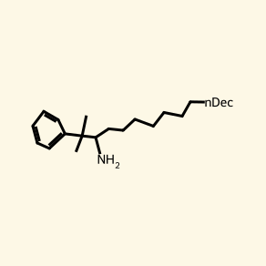 CCCCCCCCCCCCCCCCCC(N)C(C)(C)c1ccccc1